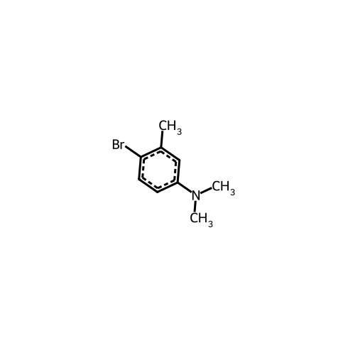 Cc1cc(N(C)C)ccc1Br